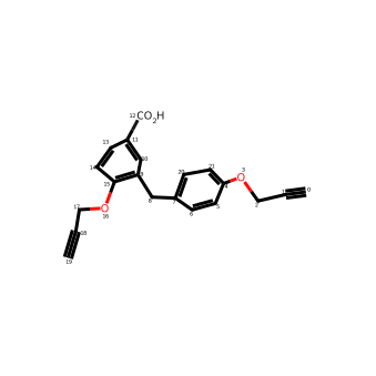 C#CCOc1ccc(Cc2cc(C(=O)O)ccc2OCC#C)cc1